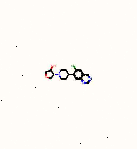 OC1COCC1N1CCC(c2cc3ncncc3cc2Cl)CC1